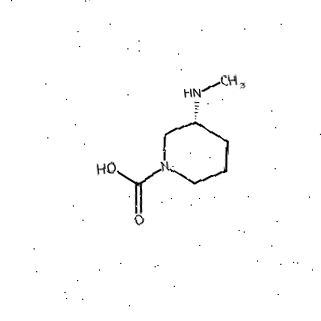 CN[C@@H]1CCCN(C(=O)O)C1